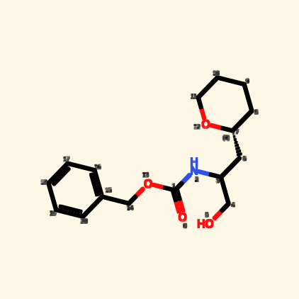 O=C(NC(CO)C[C@H]1CCCCO1)OCc1ccccc1